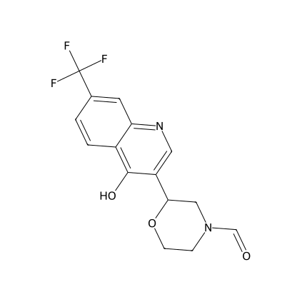 O=CN1CCOC(c2cnc3cc(C(F)(F)F)ccc3c2O)C1